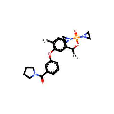 O=C(c1cccc(Oc2cc(C(OP(=O)(N3CC3)N3CC3)C(F)(F)F)ccc2[N+](=O)[O-])c1)N1CCCC1